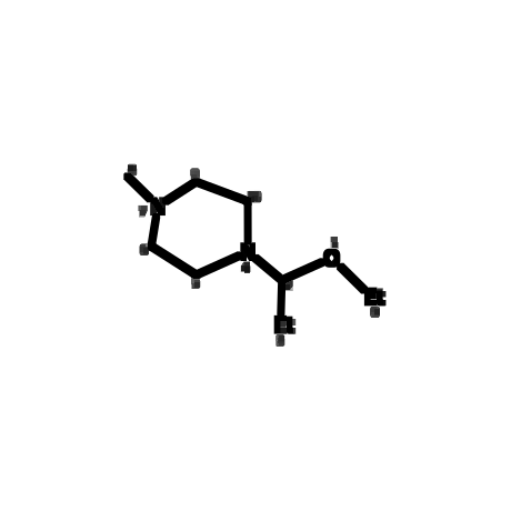 CCOC(CC)N1CCN(C)CC1